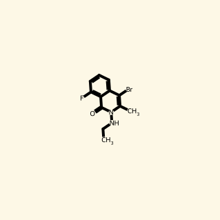 CCNn1c(C)c(Br)c2cccc(F)c2c1=O